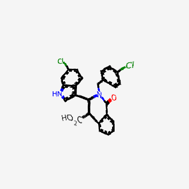 O=C(O)C1c2ccccc2C(=O)N(Cc2ccc(Cl)cc2)C1c1c[nH]c2cc(Cl)ccc12